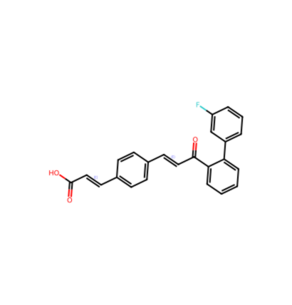 O=C(O)/C=C/c1ccc(/C=C/C(=O)c2ccccc2-c2cccc(F)c2)cc1